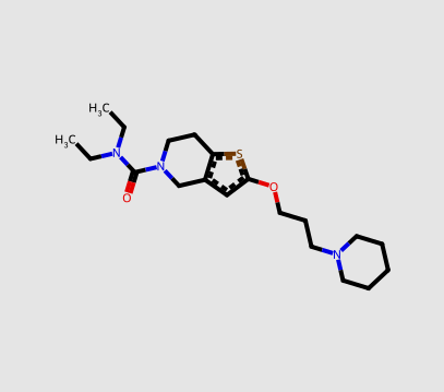 CCN(CC)C(=O)N1CCc2sc(OCCCN3CCCCC3)cc2C1